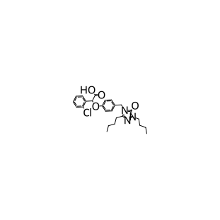 CCCCc1nn(CCCC)c(=O)n1Cc1ccc(OC(C(=O)O)c2ccccc2Cl)cc1